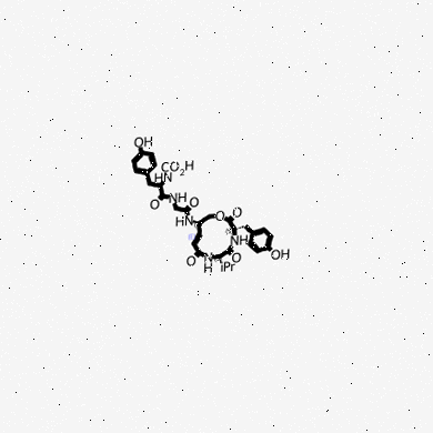 CC(C)[C@@H]1NC(=O)/C=C/[C@@H](NC(=O)CNC(=O)C(Cc2ccc(O)cc2)NC(=O)O)COC(=O)[C@H](Cc2ccc(O)cc2)NC1=O